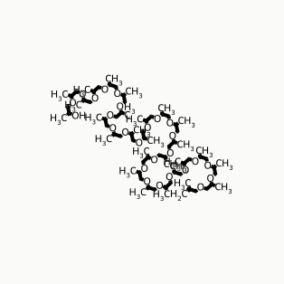 C=C(C)COCC(C)OCC(C)OCC(C)OCC(C)OCC(C)OCC(C)OCC(C)OCC(C)OCC(C)OCC(C)OCC(C)OCC(C)OCC(C)OCC(C)OCC(C)OCC(C)OCC(C)OCC(C)OCC(C)OCC(C)OCC(C)OCC(C)OCC(C)OCC(C)OCC(C)O